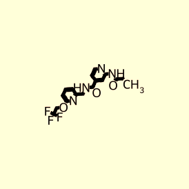 CCC(=O)Nc1cc(C(=O)NCc2cccc(OCC(F)(F)F)n2)ccn1